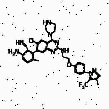 Cc1ccc(N)c(C=N)c1-c1cc2nc(NCCOc3ccc(-n4ncc(C)c4C(F)(F)F)cc3)nc(N3CCNCC3)c2cc1Cl